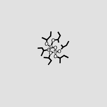 CCC(C)O[Si](OC(C)CC)(OC(C)CC)[O][Ti]([O]C(C)CC)([O]C(C)CC)[O]C(C)CC